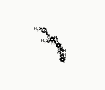 COc1cc2c(Nc3ccc4nc(NC(=O)NCc5ccccc5Cl)sc4c3)ncnc2cc1OCCCN1CCN(C)CC1